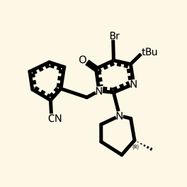 C[C@@H]1CCCN(c2nc(C(C)(C)C)c(Br)c(=O)n2Cc2ccccc2C#N)C1